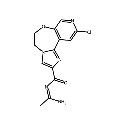 C/C(N)=N/C(=O)c1cn2c(n1)-c1cc(Cl)ncc1OCC2